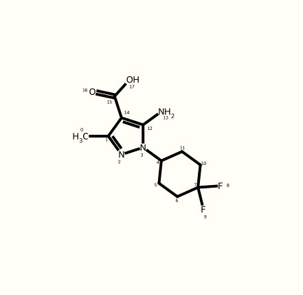 Cc1nn(C2CCC(F)(F)CC2)c(N)c1C(=O)O